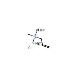 C=CC[N+](C)(CCCCCC)CCCCCCC.[Cl-]